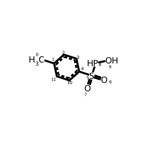 Cc1ccc(S(=O)(=O)PO)cc1